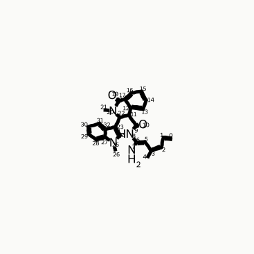 C=C/C=C(C)\C=C(/N)NC(=O)C1c2ccccc2C(=O)N(C)C1c1cn(C)c2ccccc12